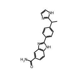 CC(c1ccc(-c2nc3cc(C(N)=O)ccc3[nH]2)cc1)c1ncc[nH]1